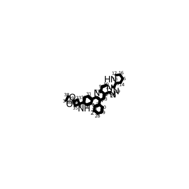 NC1(c2ccc(-c3nc4ccn5c(C6CCCCN6)nnc5c4cc3-c3ccccc3)cc2)CC2(C1)OCCO2